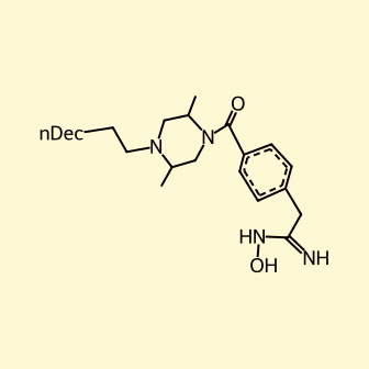 CCCCCCCCCCCCN1CC(C)N(C(=O)c2ccc(CC(=N)NO)cc2)CC1C